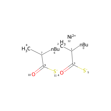 CCCCC(C)C(=O)[S-].CCCCC(C)C(=O)[S-].[Ni+2]